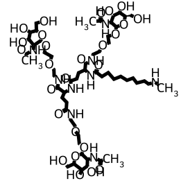 CNCCCCCCCCCC(=O)NC(CCC(=O)NC(CCC(=O)NCCOCCOC1OC(CO)C(O)C(O)C1NC(C)=O)C(=O)NCCOCCOC1OC(CO)C(O)C(O)C1NC(C)=O)C(=O)NCCOCCOC1O[C@H](CO)C(O)C(O)C1NC(C)=O